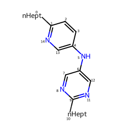 CCCCCCCc1ccc(Nc2cnc(CCCCCCC)nc2)cn1